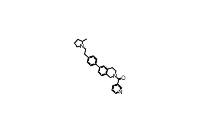 CC1CCCN1CCc1ccc(-c2ccc3c(c2)CCN(C(=O)c2cccnc2)C3)cc1